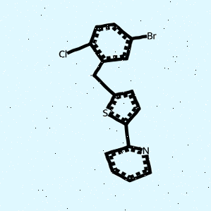 Clc1ccc(Br)cc1[CH]c1ccc(-c2ccccn2)s1